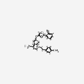 Cc1ccc(CCn2cnc(N)c3nc(SC4=COC(c5ccccc5Br)O4)nc2-3)cc1